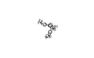 CC(C)(C)OC(=O)N1CCC(n2c(=O)[nH]c3ncc(C4=CCN(CC(F)(F)F)CC4)cc32)CC1